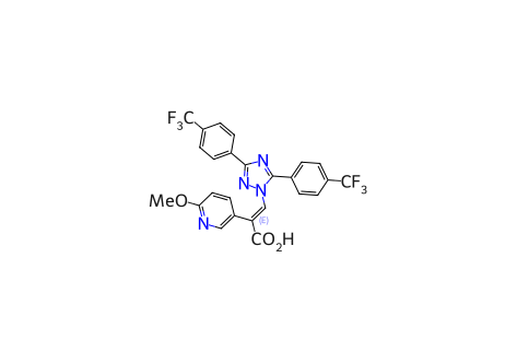 COc1ccc(/C(=C\n2nc(-c3ccc(C(F)(F)F)cc3)nc2-c2ccc(C(F)(F)F)cc2)C(=O)O)cn1